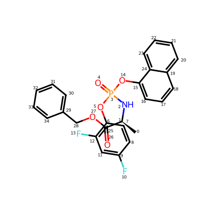 C[C@H](NP(=O)(Oc1ccc(F)cc1F)Oc1cccc2ccccc12)C(=O)OCc1ccccc1